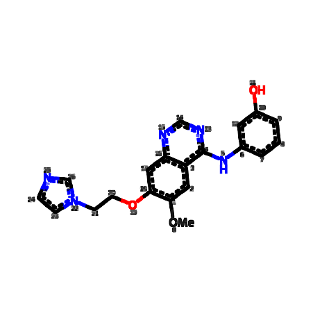 COc1cc2c(Nc3cccc(O)c3)ncnc2cc1OCCn1ccnc1